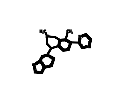 Cc1c(-c2cnccn2)ccc2c1CN(C)CC2c1ccc2ccoc2c1